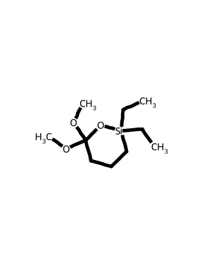 CC[Si]1(CC)CCCC(OC)(OC)O1